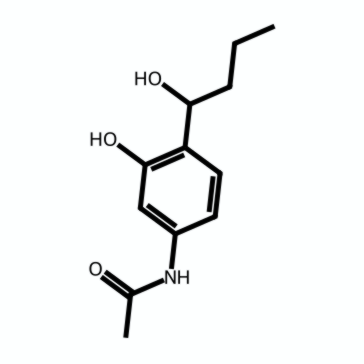 CCCC(O)c1ccc(NC(C)=O)cc1O